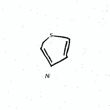 [N].c1ccsc1